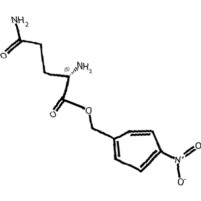 NC(=O)CC[C@H](N)C(=O)OCc1ccc([N+](=O)[O-])cc1